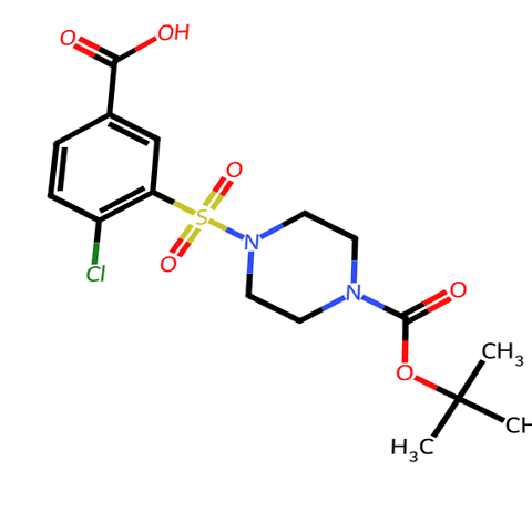 CC(C)(C)OC(=O)N1CCN(S(=O)(=O)c2cc(C(=O)O)ccc2Cl)CC1